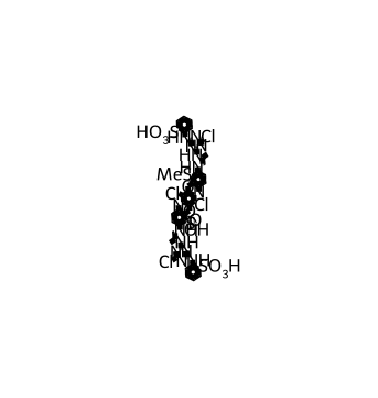 CSc1c(NCC(C)Nc2nc(Cl)nc(Nc3ccccc3S(=O)(=O)O)n2)ccc2c1Oc1c(Cl)c3c(c(Cl)c1=N2)Oc1c(ccc(NCC(C)Nc2nc(Cl)nc(Nc4ccccc4S(=O)(=O)O)n2)c1[S@@](=O)O)N=3